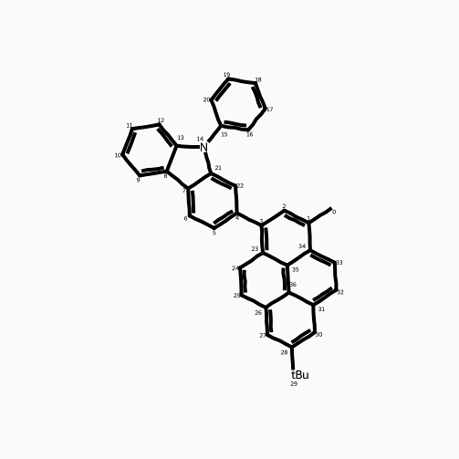 Cc1cc(-c2ccc3c4ccccc4n(-c4ccccc4)c3c2)c2ccc3cc(C(C)(C)C)cc4ccc1c2c43